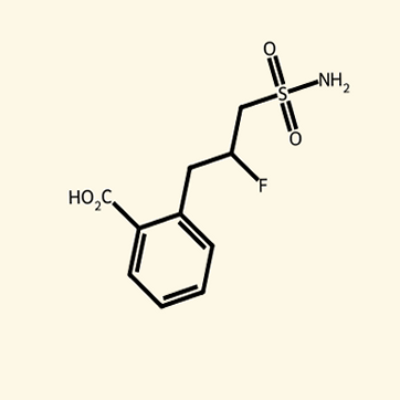 NS(=O)(=O)CC(F)Cc1ccccc1C(=O)O